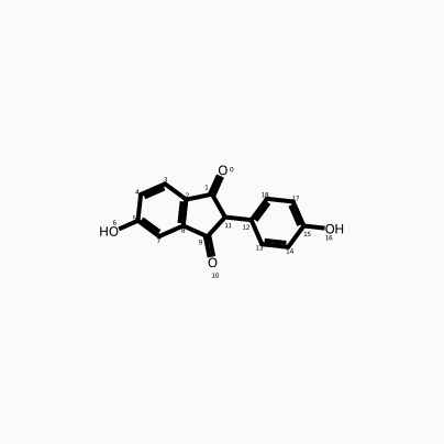 O=C1c2ccc(O)cc2C(=O)C1c1ccc(O)cc1